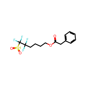 O=C(Cc1ccccc1)OCCCCC(F)(F)C(F)(F)[SH](=O)=O